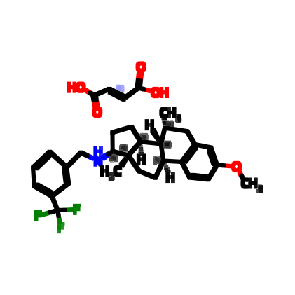 COc1ccc2c(c1)C[C@@H](C)[C@@H]1[C@@H]2CC[C@]2(C)[C@@H](NCc3cccc(C(F)(F)F)c3)CC[C@@H]12.O=C(O)/C=C/C(=O)O